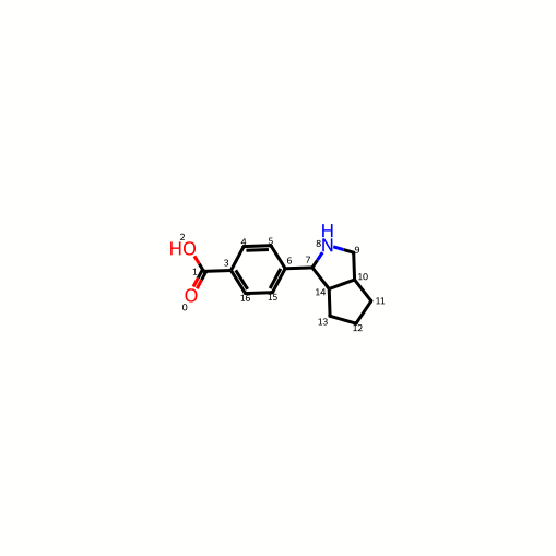 O=C(O)c1ccc(C2NCC3CCCC32)cc1